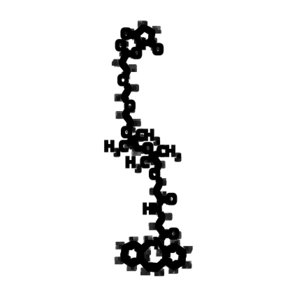 CC(C)(COCCC(=O)NCCC(=O)N1Cc2ccccc2C#Cc2ccccc21)OCC(C)(C)OCCOCCOCCC(=O)ON1C(=O)CCC1=O